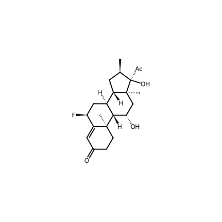 CC(=O)[C@@]1(O)[C@H](C)C[C@H]2[C@@H]3C[C@H](F)C4=CC(=O)CC[C@]4(C)[C@H]3[C@@H](O)C[C@@]21C